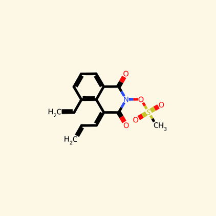 C=C/C=C1/C(=O)N(OS(C)(=O)=O)C(=O)c2cccc(C=C)c21